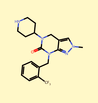 Cn1cc2c(n1)N(Cc1ccccc1C(F)(F)F)C(=O)N(C1CCNCC1)C2